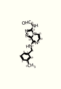 Cc1cccc(CNc2nccn3c(NC=O)nnc23)c1